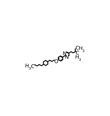 CCCCCC1CCC(CCCOc2ccc(-c3ncc(CCC(C)CC)cn3)cc2)CC1